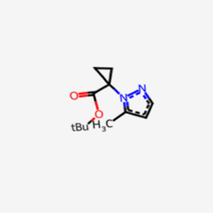 Cc1ccnn1C1(C(=O)OC(C)(C)C)CC1